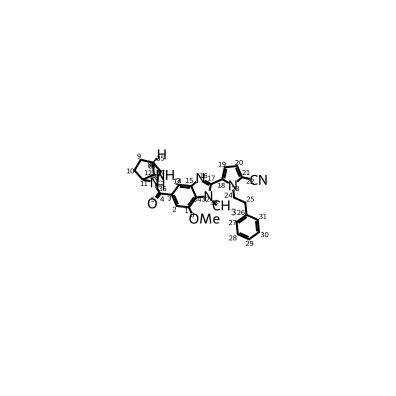 COc1cc(C(=O)N2C[C@H]3CCC2[C@@H]3N)cc2nc(-c3ccc(C#N)n3CCc3ccccc3)n(C)c12